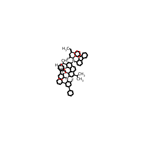 C=Cc1c(N(c2c(F)cc(-c3ccccc3)cc2-c2ccccc2)c2cccc3c2sc2ccccc23)cc(C(C)C)c2ccc3c(N(c4cccc5c4sc4ccccc45)C(/C(F)=C\C(=C/C)c4ccccc4)c4ccccc4)cc(C(C)C)c(C)c3c12